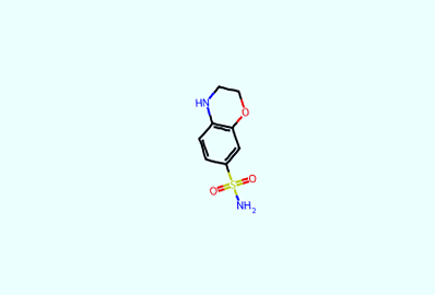 NS(=O)(=O)c1ccc2c(c1)OCCN2